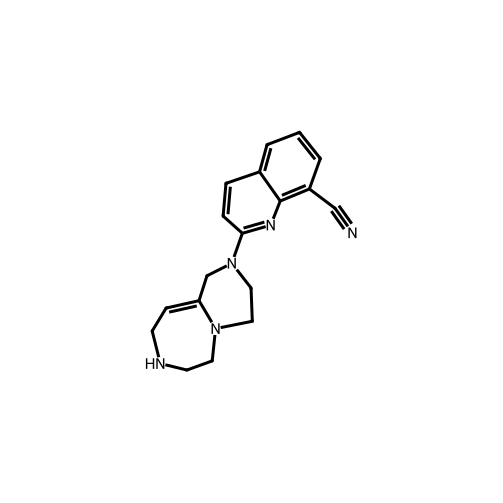 N#Cc1cccc2ccc(N3CCN4CCNCC=C4C3)nc12